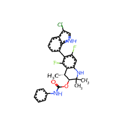 C[C@@H]1c2c(cc(F)c(-c3cccc4c(Cl)c[nH]c34)c2F)NC(C)(C)[C@H]1OC(=O)Nc1ccccc1